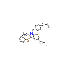 CC(=O)c1c(Sc2ccccc2)c2cc(C)ccc2n1Cc1ccc(C)cc1